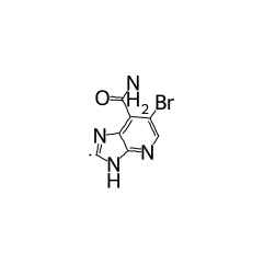 NC(=O)c1c(Br)cnc2[nH][c]nc12